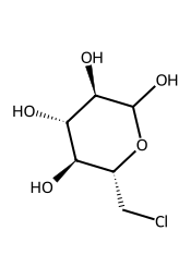 OC1O[C@H](CCl)[C@@H](O)[C@H](O)[C@H]1O